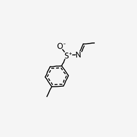 CC=N[S+]([O-])c1ccc(C)cc1